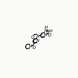 O=C(c1cnc2c(c1)OCCN2C1=CC2NNC(=O)N2C=C1)N1CCCCC1